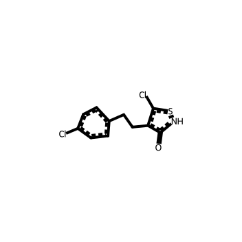 O=c1[nH]sc(Cl)c1CCc1ccc(Cl)cc1